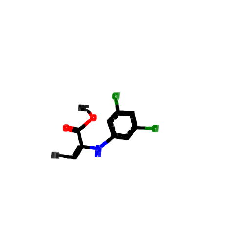 CCC=C(Nc1cc(Cl)cc(Cl)c1)C(=O)OC#N